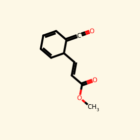 COC(=O)C=CC1C=CC=CC1=C=O